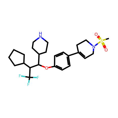 CS(=O)(=O)N1CC=C(c2ccc(OC(C3CCNCC3)C(C3CCCC3)C(F)(F)F)cc2)CC1